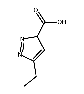 CCC1=CC(C(=O)O)N=N1